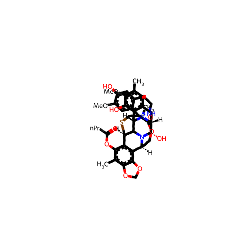 CCCC(=O)Oc1c(C)c2c(c3c1[C@H]1SC[C@]4(NCCc5cc(O)c(OC)cc54)C(=O)OC[C@@H]3N3C1[C@@H]1c4c(cc(C)c(OC)c4O)C[C@H]([C@@H]3O)N1C)OCO2